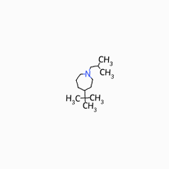 CC(C)CN1CCCC(C(C)(C)C)CC1